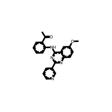 COc1ccc2nc(-c3cccnc3)nc(Nc3ccccc3C(C)=O)c2c1